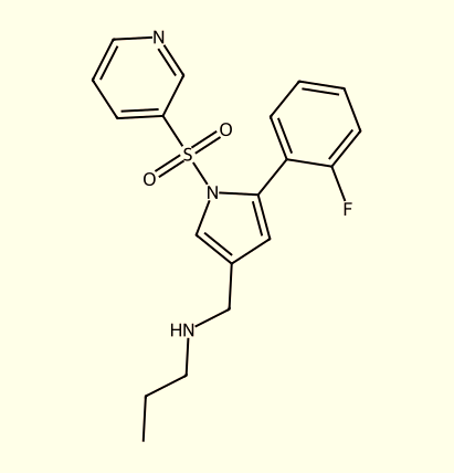 CCCNCc1cc(-c2ccccc2F)n(S(=O)(=O)c2cccnc2)c1